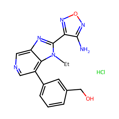 CCn1c(-c2nonc2N)nc2cncc(-c3cccc(CO)c3)c21.Cl